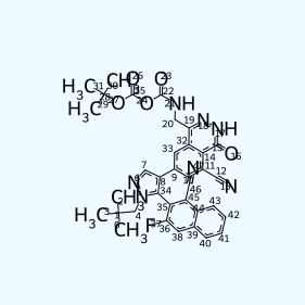 CC(C)(C)Cn1ncc(-c2cc(C#N)c3c(=O)[nH]nc(CNC(=O)OC(=O)OC(C)(C)C)c3c2)c1-c1c(F)cc2ccccc2c1C#N